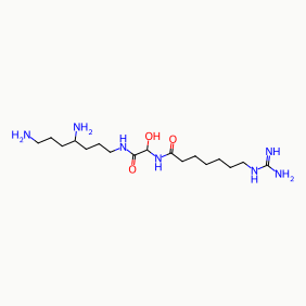 N=C(N)NCCCCCCC(=O)NC(O)C(=O)NCCCC(N)CCCN